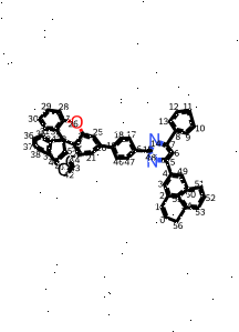 C1=Cc2cc(-c3cc(-c4ccccc4)nc(-c4ccc(-c5ccc6c(c5)Oc5ccccc5C65c6ccccc6-c6ccccc65)cc4)n3)cc3cccc(c23)C1